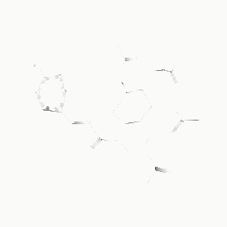 COC(=O)C(=Cc1ccc(Br)cc1)O[C@H]1O[C@@H](COC(C)=O)[C@@H](OC(C)=O)[C@@H](OC(C)=O)[C@@H]1OC(C)=O